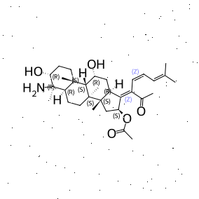 CC(=O)O[C@H]1C[C@@]2(C)[C@@H](C[C@@H](O)[C@H]3[C@@]4(C)CC[C@@H](O)[C@](C)(N)[C@@H]4CC[C@@]32C)/C1=C(\C=C/C=C(C)C)C(C)=O